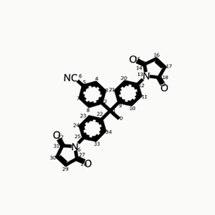 CC(c1ccc(C#N)cc1)(c1ccc(N2C(=O)C=CC2=O)cc1)c1ccc(N2C(=O)C=CC2=O)cc1